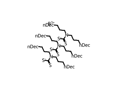 CCCCCCCCCCCCCN(CCCCCCCCCCCCC)C(=S)[S-].CCCCCCCCCCCCCN(CCCCCCCCCCCCC)C(=S)[S-].CCCCCCCCCCCCCN(CCCCCCCCCCCCC)C(=S)[S-].[B+3]